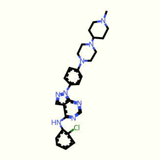 CN1CCC(N2CCN(c3ccc(-n4ncc5c(Nc6ccccc6Cl)ncnc54)cc3)CC2)CC1